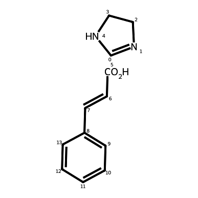 C1=NCCN1.O=C(O)C=Cc1ccccc1